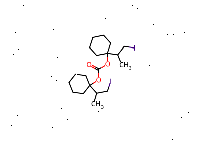 CC(CI)C1(OC(=O)OC2(C(C)CI)CCCCC2)CCCCC1